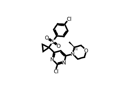 C[C@H]1COCCN1c1cc(C2(S(=O)(=O)c3ccc(Cl)cc3)CC2)nc(Cl)n1